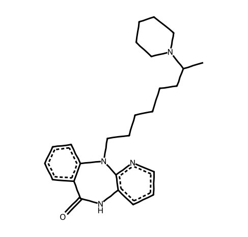 CC(CCCCCCN1c2ccccc2C(=O)Nc2cccnc21)N1CCCCC1